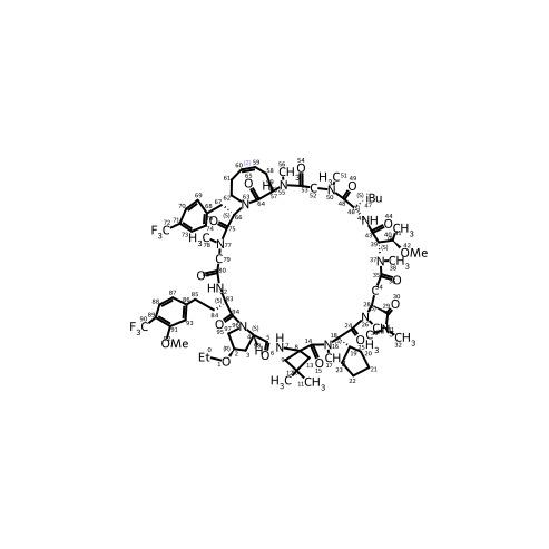 CCO[C@@H]1C[C@H]2C(=O)NC3(CC(C)(C)C3)C(=O)N(C)[C@@H](C3CCCC3)C(=O)N(C)[C@H](C(=O)N(C)C)CC(=O)N(C)[C@@H]([C@@H](C)OC)C(=O)N[C@@H]([C@@H](C)CC)C(=O)N(C)CC(=O)N(C)[C@H]3C/C=C\CCN(C3=O)[C@@H](Cc3ccc(C(F)(F)F)cc3)C(=O)N(C)CC(=O)N[C@@H](CCc3ccc(C(F)(F)F)c(OC)c3)C(=O)N2C1